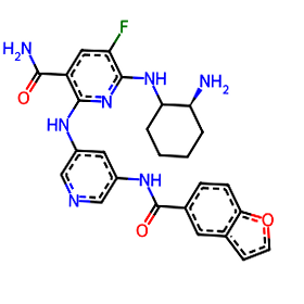 NC(=O)c1cc(F)c(NC2CCCC[C@@H]2N)nc1Nc1cncc(NC(=O)c2ccc3occc3c2)c1